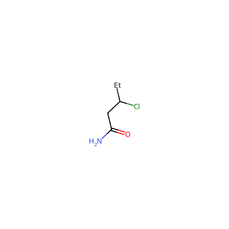 CCC(Cl)CC(N)=O